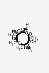 CC[C@H]1OC(=O)[C@H](C)[C@@H](O)[C@H](C)[C@@H](O)[C@@H](C)C[C@@H](C)C(=O)[C@H](C)[C@@H](O)[C@]1(C)O